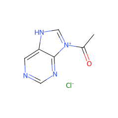 CC(=O)[n+]1c[nH]c2cncnc21.[Cl-]